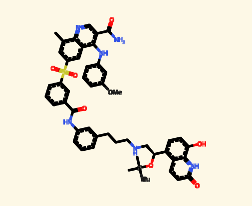 COc1cccc(Nc2c(C(N)=O)cnc3c(C)cc(S(=O)(=O)c4cccc(C(=O)Nc5cccc(CCCNC[C@H](O[Si](C)(C)C(C)(C)C)c6ccc(O)c7[nH]c(=O)ccc67)c5)c4)cc23)c1